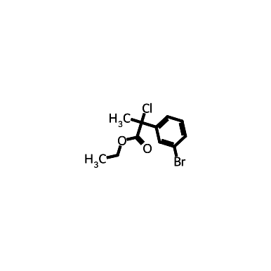 CCOC(=O)C(C)(Cl)c1cccc(Br)c1